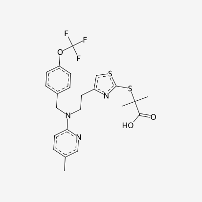 Cc1ccc(N(CCc2csc(SC(C)(C)C(=O)O)n2)Cc2ccc(OC(F)(F)F)cc2)nc1